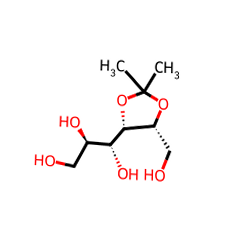 CC1(C)O[C@@H]([C@H](O)[C@H](O)CO)[C@@H](CO)O1